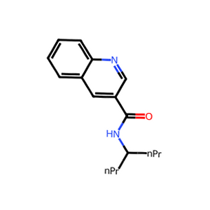 CCCC(CCC)NC(=O)c1cnc2ccccc2c1